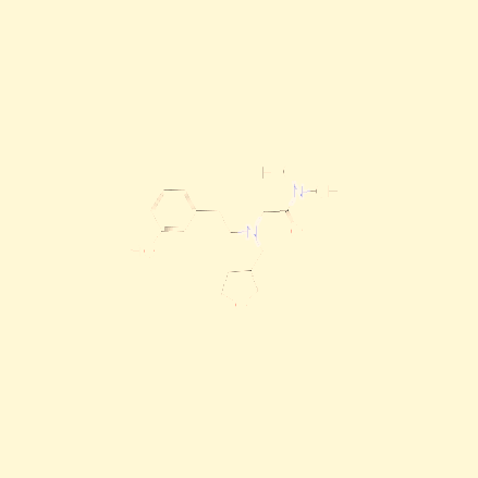 CN(C)C(=O)CN(CCc1cccc(O)c1)CC1CCOC1